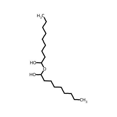 CCCCCCCCC(O)OC(O)CCCCCCCC